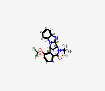 [2H]C([2H])([2H])N1C(=O)c2cccc(OC(F)F)c2C2CC1c1nc3ccccc3n12